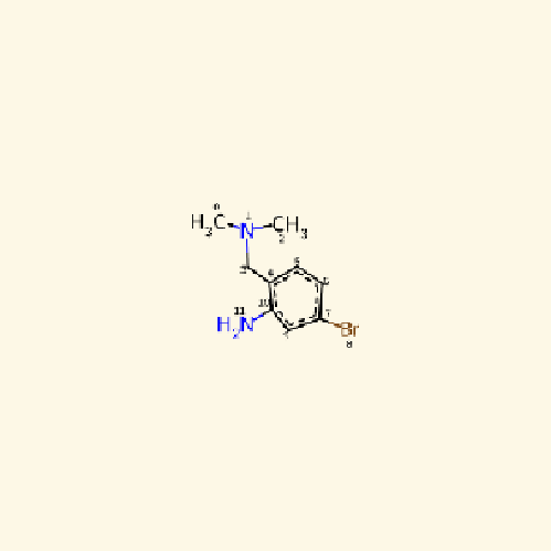 CN(C)Cc1ccc(Br)cc1N